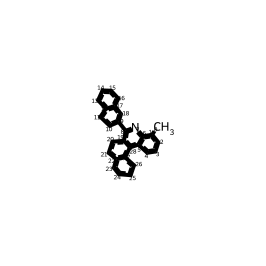 Cc1cccc2c1nc(-c1ccc3ccccc3c1)c1ccc3ccccc3c12